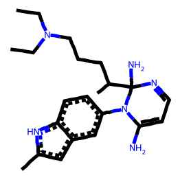 CCN(CC)CCCC(C)C1(N)N=CC=C(N)N1c1ccc2[nH]c(C)cc2c1